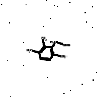 CO[SiH2]c1c(C(=O)O)ccc(C)c1C